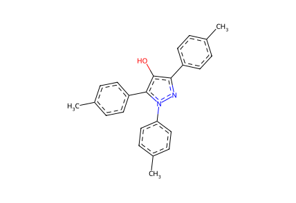 Cc1ccc(-c2nn(-c3ccc(C)cc3)c(-c3ccc(C)cc3)c2O)cc1